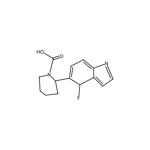 O=C(O)N1CCCCC1C1=CC=C2N=CC=C2C1F